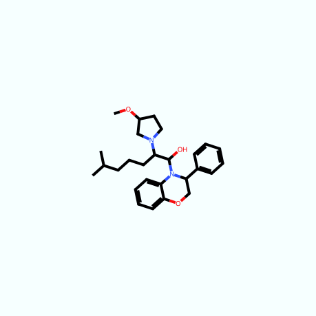 COC1CCN(C(CCCC(C)C)C(O)N2c3ccccc3OCC2c2ccccc2)C1